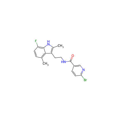 Cc1[nH]c2c(F)ccc(C)c2c1CCNC(=O)c1ccc(Br)nc1